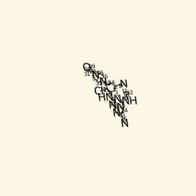 N#Cc1cc(Nc2nc(NC3CC3)n3cc(C#N)nc3n2)c(Cl)c(N2CCN(C3COC3)CC2)c1